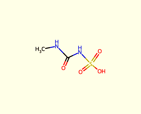 CNC(=O)NS(=O)(=O)O